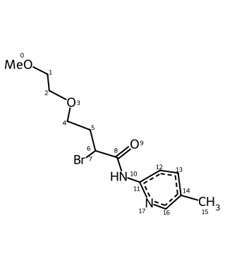 COCCOCCC(Br)C(=O)Nc1ccc(C)cn1